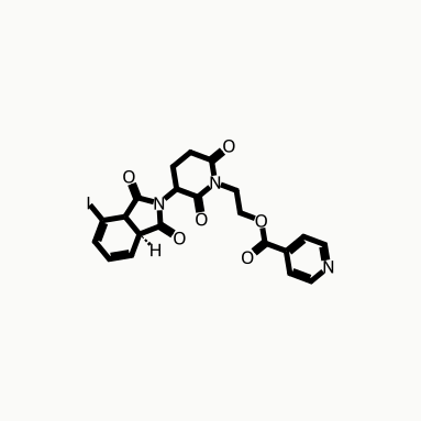 O=C(OCCN1C(=O)CCC(N2C(=O)C3C(I)=CC=C[C@@H]3C2=O)C1=O)c1ccncc1